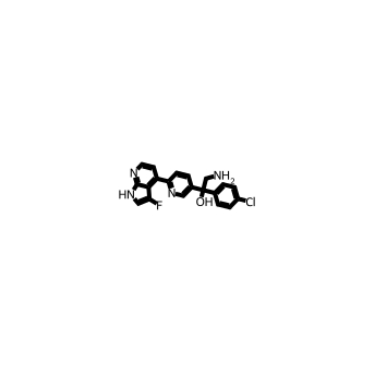 NCC(O)(c1ccc(Cl)cc1)c1ccc(-c2ccnc3[nH]cc(F)c23)nc1